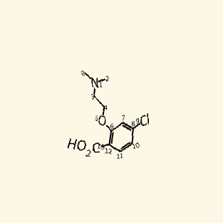 CN(C)CCOc1cc(Cl)ccc1C(=O)O